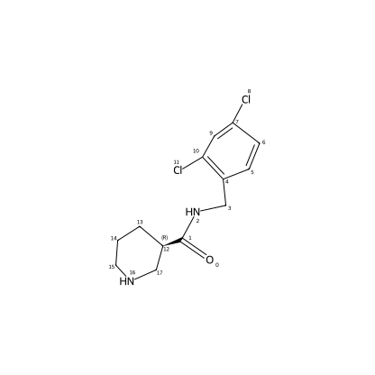 O=C(NCc1ccc(Cl)cc1Cl)[C@@H]1CCCNC1